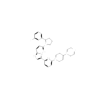 Fc1cccc(C2CCCN2c2ccc3ncc(-c4cccc(N5CCC(N6CCOCC6)CC5)n4)n3n2)c1